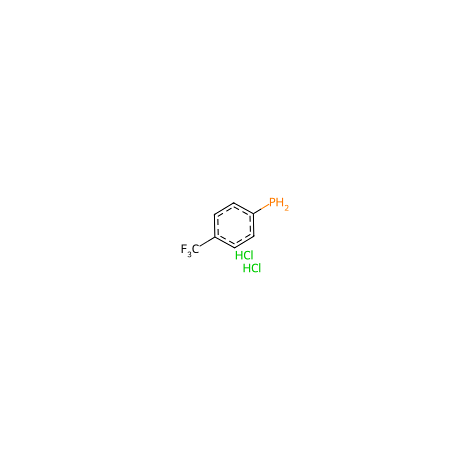 Cl.Cl.FC(F)(F)c1ccc(P)cc1